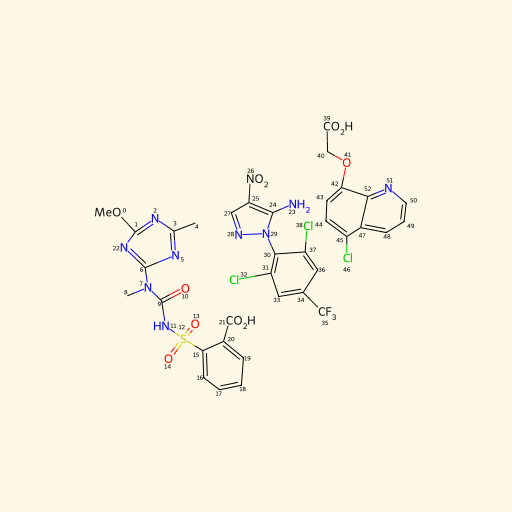 COc1nc(C)nc(N(C)C(=O)NS(=O)(=O)c2ccccc2C(=O)O)n1.Nc1c([N+](=O)[O-])cnn1-c1c(Cl)cc(C(F)(F)F)cc1Cl.O=C(O)COc1ccc(Cl)c2cccnc12